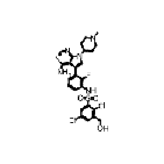 CN1CCC(n2cc(-c3cccc(NS(=O)(=O)c4cc(Cl)cc(CO)c4Cl)c3F)c3c(N)ncnc32)CC1